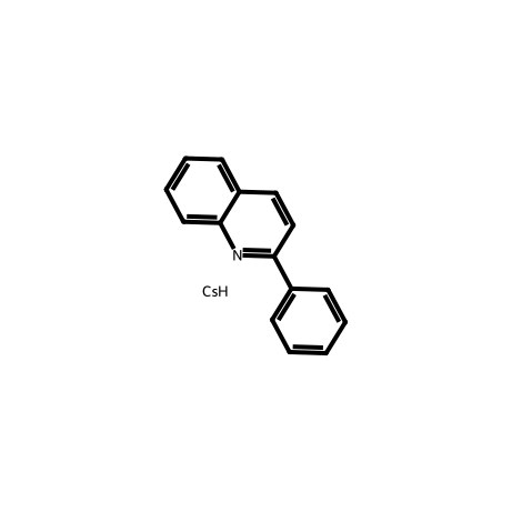 [CsH].c1ccc(-c2ccc3ccccc3n2)cc1